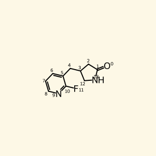 O=C1CC(Cc2cccnc2F)CN1